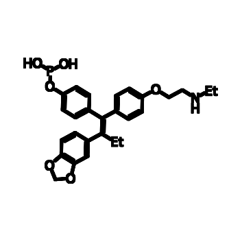 CCNCCOc1ccc(C(=C(CC)c2ccc3c(c2)OCO3)c2ccc(OP(O)O)cc2)cc1